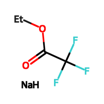 CCOC(=O)C(F)(F)F.[NaH]